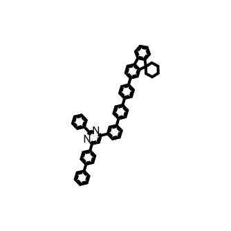 c1ccc(-c2ccc(-c3cc(-c4cccc(-c5ccc(-c6ccc(-c7ccc8c(c7)C7(CCCCC7)c7ccccc7-8)cc6)cc5)c4)nc(-c4ccccc4)n3)cc2)cc1